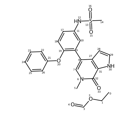 CCOC=O.Cn1cc(-c2cc(NS(C)(=O)=O)ccc2Oc2ccccc2)c2cc[nH]c2c1=O